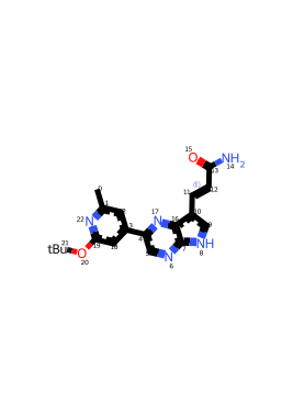 Cc1cc(-c2cnc3[nH]cc(/C=C/C(N)=O)c3n2)cc(OC(C)(C)C)n1